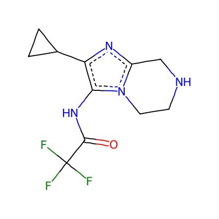 O=C(Nc1c(C2CC2)nc2n1CCNC2)C(F)(F)F